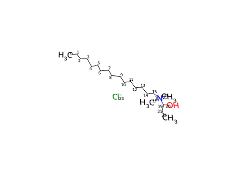 CCCCCCCCCCCCCCCC[N+](C)(C)C(O)CC.[Cl-]